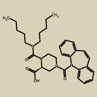 CCCCCN(CCCCC)C(=O)N1CCN(C(=O)N2c3ccccc3C=Cc3ccccc32)C[C@H]1C(=O)O